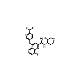 CC(=O)O[C@H]1COCC[C@@H]1NC(=O)c1cc(Cc2ccc(C(F)F)nc2)c2cccc(F)c2n1